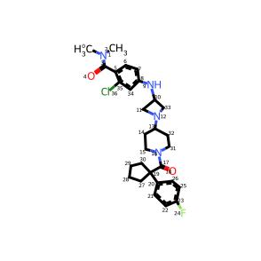 CN(C)C(=O)c1ccc(NC2CN(C3CCN(C(=O)C4(c5ccc(F)cc5)CCCC4)CC3)C2)cc1Cl